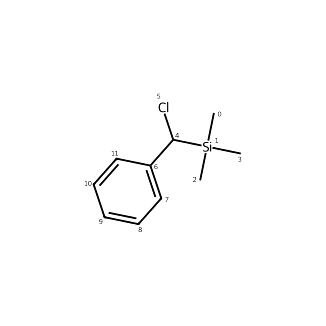 C[Si](C)(C)C(Cl)c1ccccc1